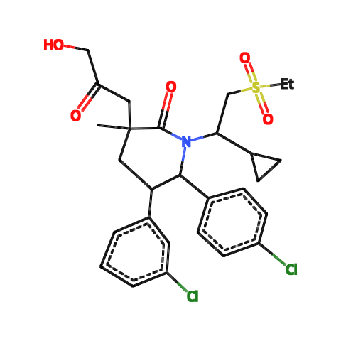 CCS(=O)(=O)CC(C1CC1)N1C(=O)C(C)(CC(=O)CO)CC(c2cccc(Cl)c2)C1c1ccc(Cl)cc1